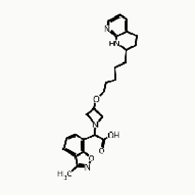 Cc1noc2c(C(C(=O)O)N3CC(OCCCCCC4CCc5cccnc5N4)C3)cccc12